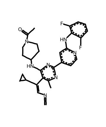 C=N/C=C(\c1c(C)nc(-c2ccnc(Nc3c(F)cccc3F)c2)nc1NC1CCN(C(C)=O)CC1)C1CC1